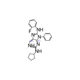 C=C(/N=C1\C(=C/N)N=C(Nc2ccccc2F)N1c1ccccc1)NC1CCCC1